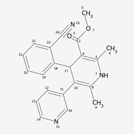 COC(=O)C1=C(C)NC(C)=C(c2cccnc2)C1c1ccccc1C#N